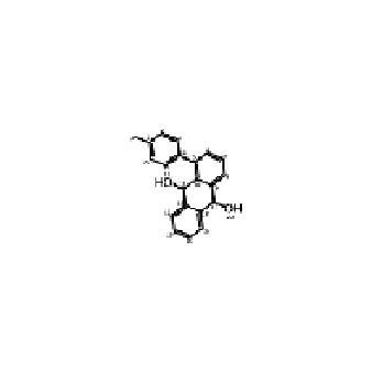 Cc1ccc(-c2cccc3c2C(O)c2ccccc2C3O)cc1